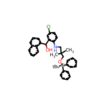 CC(C)(CNc1ccc(Cl)cc1C(O)c1cccc2ccccc12)CO[Si](c1ccccc1)(c1ccccc1)C(C)(C)C